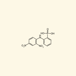 O=[N+]([O-])c1ccc(Nc2ccccc2P(=O)(O)O)c([N+](=O)[O-])c1